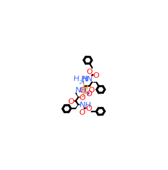 NC[C@@H](O[PH](=O)O[C@H](CN)C(=O)[C@H](Cc1ccccc1)NC(=O)OCc1ccccc1)C(=O)[C@H](Cc1ccccc1)NC(=O)OCc1ccccc1